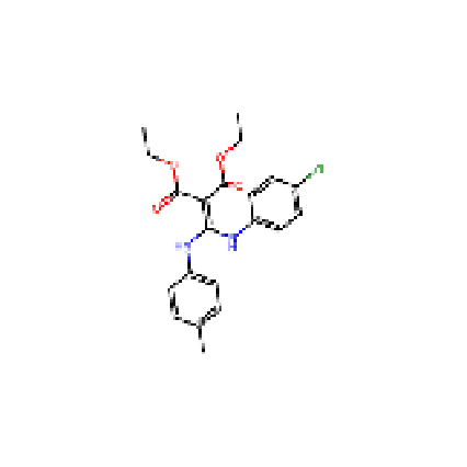 CCOC(=O)C(C(=O)OCC)=C(Nc1ccc(C)cc1)Nc1ccc(Cl)cc1